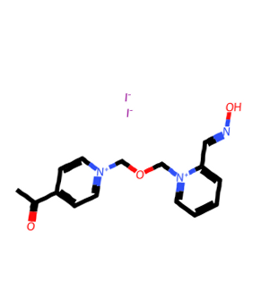 CC(=O)c1cc[n+](COC[n+]2ccccc2C=NO)cc1.[I-].[I-]